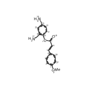 COc1ccc(C=CC(=O)Oc2ccc(N)cc2N)cc1